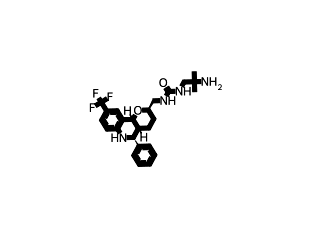 CC(C)(N)CNC(=O)NC[C@H]1CC[C@@H]2[C@H](O1)c1cc(C(F)(F)F)ccc1N[C@H]2c1ccccc1